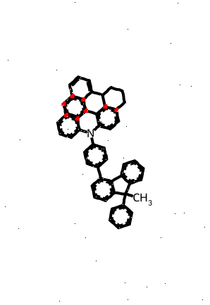 CC1(c2ccccc2)c2ccccc2-c2c(-c3ccc(N(c4ccccc4C4C=CC=C5C=CC=C(C6CCCCC6)C54)c4cccc5ccccc45)cc3)cccc21